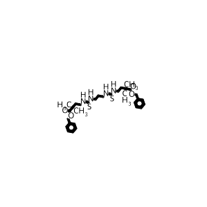 CC(C)(CCNC(=S)NCCCNC(=S)NCCC(C)(C)C(=O)OCc1ccccc1)C(=O)OCc1ccccc1